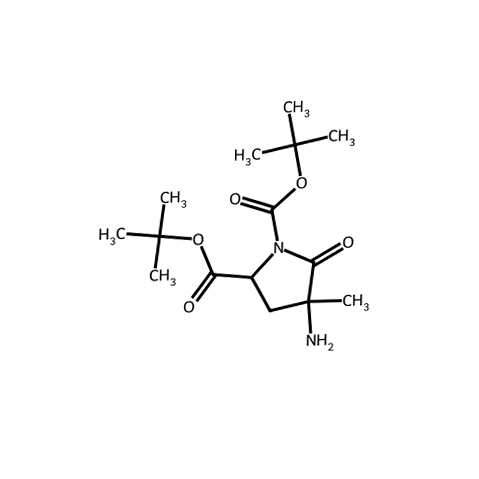 CC(C)(C)OC(=O)C1CC(C)(N)C(=O)N1C(=O)OC(C)(C)C